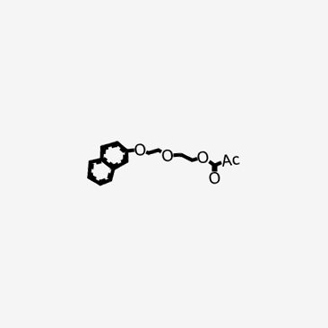 CC(=O)C(=O)OCCOCCOc1ccc2ccccc2c1